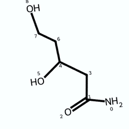 NC(=O)CC(O)CCO